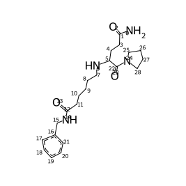 NC(=O)CCC(NCCCCCC(=O)NCc1ccccc1)C(=O)N1CCCC1